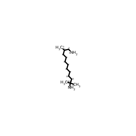 CC(CN)CCCCCCCCC(C)(C)N